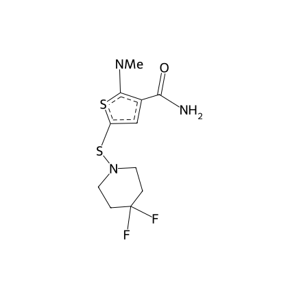 CNc1sc(SN2CCC(F)(F)CC2)cc1C(N)=O